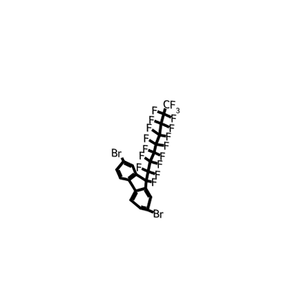 FC(F)(F)C(F)(F)C(F)(F)C(F)(F)C(F)(F)C(F)(F)C(F)(F)C(F)(F)C1(F)c2cc(Br)ccc2-c2ccc(Br)cc21